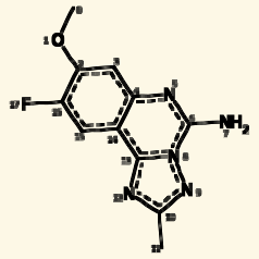 COc1cc2nc(N)n3nc(C)nc3c2cc1F